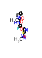 Cc1noc(-c2cc3nccc(Oc4ccc(NC(=O)c5c(C)n(CC(C)C)n(-c6ccccc6)c5=O)cc4F)c3s2)n1